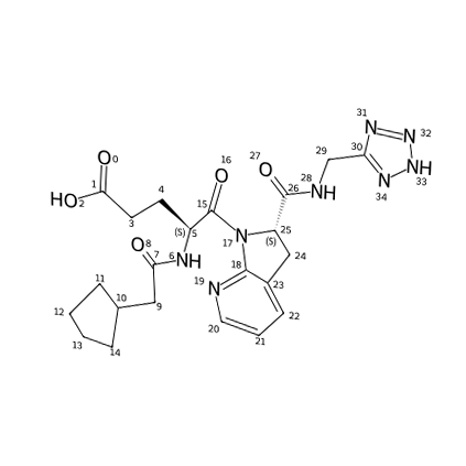 O=C(O)CC[C@H](NC(=O)CC1CCCC1)C(=O)N1c2ncccc2C[C@H]1C(=O)NCc1nn[nH]n1